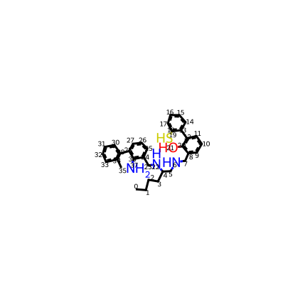 CCCCC(CNCc1cccc(-c2ccccc2S)c1O)NCc1cccc(-c2ccccc2C)c1N